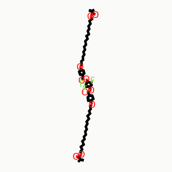 C=C(C)C(=O)OCCCCCCCCCCCCCCCCCCCOc1ccc(C(=O)Oc2cc(F)c(OC(=O)c3ccc(OCCCCCCCCCCCCCCCCCCCOC(=O)C(=C)C)cc3)c(F)c2F)cc1